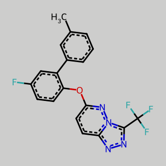 Cc1cccc(-c2cc(F)ccc2Oc2ccc3nnc(C(F)(F)F)n3n2)c1